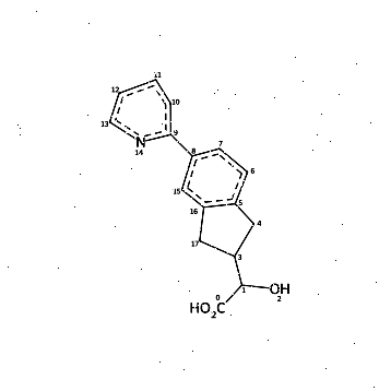 O=C(O)C(O)C1Cc2ccc(-c3ccccn3)cc2C1